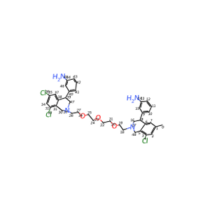 Cc1cc(Cl)c2c(c1)C(c1cccc(N)c1)CN(CCOCCOCCOCCN1Cc3c(Cl)cc(Cl)cc3C(c3cccc(N)c3)C1)C2